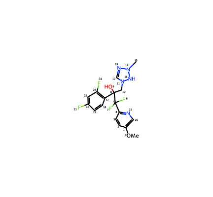 COc1ccc(C(F)(F)C(O)(CN2C=NN(C)N2)c2ccc(F)cc2F)nc1